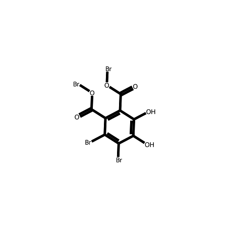 O=C(OBr)c1c(O)c(O)c(Br)c(Br)c1C(=O)OBr